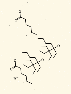 CCCCC([O-])(CC)C(CC)(CC)CC.CCCCC([O-])(CC)C(CC)(CC)CC.CCCCCC(=O)[O-].CCCCCC(=O)[O-].[Ti+4]